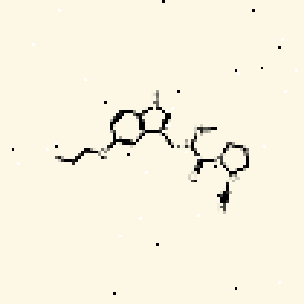 CCCOc1ccc2[nH]cc(C[C@H](NC)C(=O)N3CCC[C@H]3C#N)c2c1